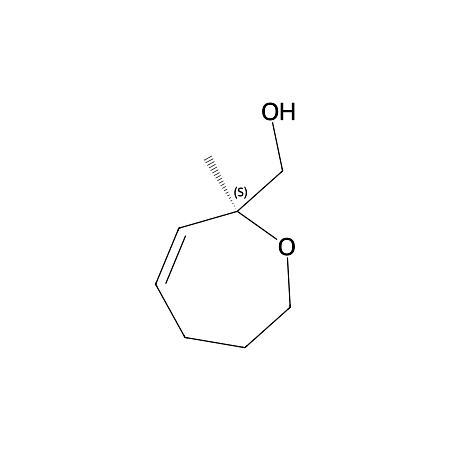 C[C@@]1(CO)C=CCCCO1